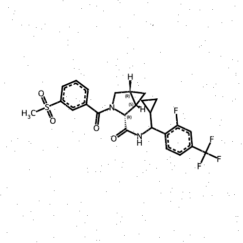 CS(=O)(=O)c1cccc(C(=O)N2C[C@@H]3C[C@@H]3[C@@H]2C(=O)NC(c2ccc(C(F)(F)F)cc2F)C2CC2)c1